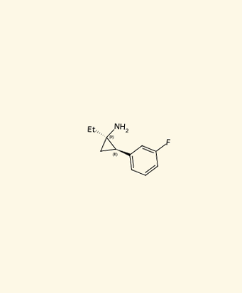 CC[C@@]1(N)C[C@@H]1c1cccc(F)c1